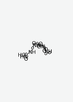 CN(C(=O)CCN1CCC(OC(=O)Nc2ccccc2-c2ccccc2)CC1)c1cccc(C(=O)NCc2ccc(CCNCCc3ccc(O)c4[nH]c(=O)ccc34)cc2)c1